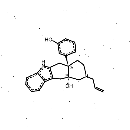 C=CCN1CC[C@@]2(c3cccc(O)c3)Cc3[nH]c4ccccc4c3C[C@]2(O)C1